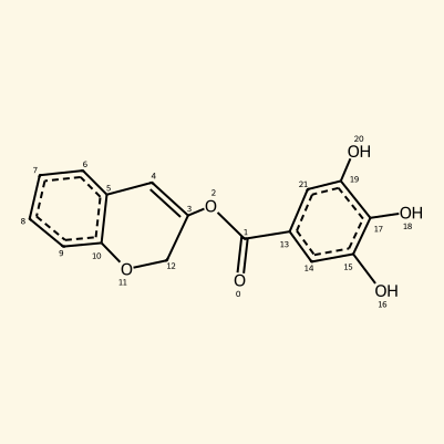 O=C(OC1=Cc2ccccc2OC1)c1cc(O)c(O)c(O)c1